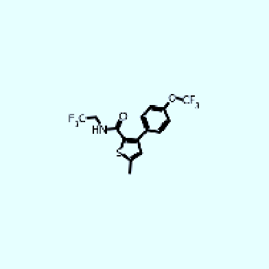 Cc1cc(-c2ccc(OC(F)(F)F)cc2)c(C(=O)NCC(F)(F)F)s1